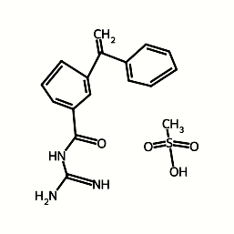 C=C(c1ccccc1)c1cccc(C(=O)NC(=N)N)c1.CS(=O)(=O)O